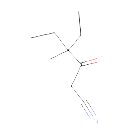 CCC(C)(CC)C(=O)CC#N